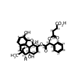 CC1CC[C@]23c4c5ccc(O)c4O[C@H]2C(OC(=O)[C@@H](OC(=O)CCC(=O)O)c2ccccc2)=CC[C@@]3(O)[C@H]1C5